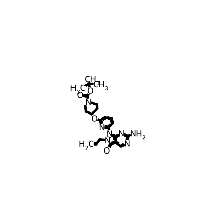 C=CCn1c(=O)c2cnc(N)nc2n1-c1cccc(OC2CCN(C(=O)OC(C)(C)C)CC2)n1